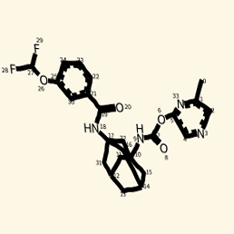 Cc1cncc(OC(=O)NC23CC4CC(C2)CC(NC(=O)c2cccc(OC(F)F)c2)(C4)C3)n1